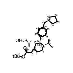 C=C(C)[C@@H]1CC[C@@](COC=O)(CC(=O)OC(C)(C)C)C[C@H]1c1ccc(CN2CCCC2)cc1